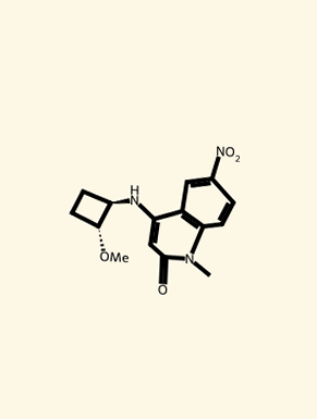 CO[C@@H]1CC[C@H]1Nc1cc(=O)n(C)c2ccc([N+](=O)[O-])cc12